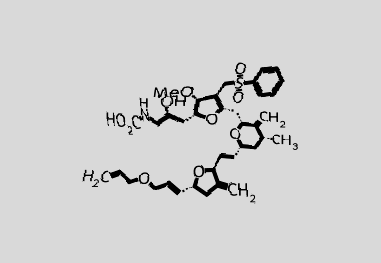 C=CCOCC=C[C@H]1CC(=C)[C@H](CC[C@H]2C[C@@H](C)C(=C)[C@@H](C[C@@H]3O[C@H](C[C@H](O)CNC(=O)O)[C@H](OC)[C@H]3CS(=O)(=O)c3ccccc3)O2)O1